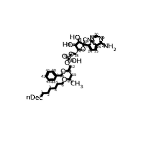 CCCCCCCCCCCCCCCCOC(C)C[C@H](COP(=O)(O)OC[C@H]1O[C@@](C#N)(c2ccc3c(N)ncnn23)[C@H](O)[C@@H]1O)OCc1ccccc1